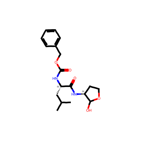 CC(C)C[C@H](NC(=O)OCc1ccccc1)C(=O)N[C@H]1CCOC1O